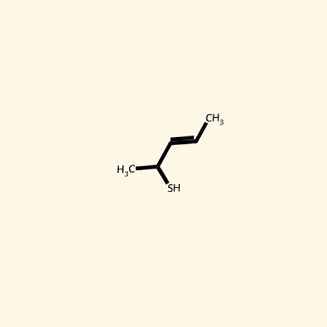 CC=CC(C)S